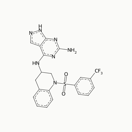 Nc1nc(NC2Cc3ccccc3N(S(=O)(=O)c3cccc(C(F)(F)F)c3)C2)c2cn[nH]c2n1